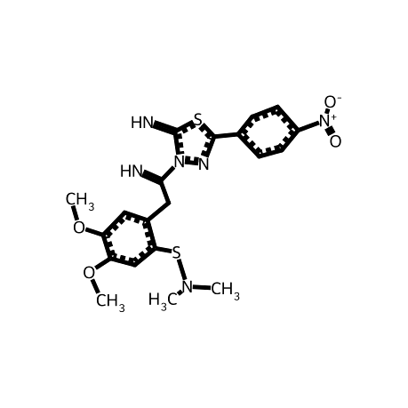 COc1cc(CC(=N)n2nc(-c3ccc([N+](=O)[O-])cc3)sc2=N)c(SN(C)C)cc1OC